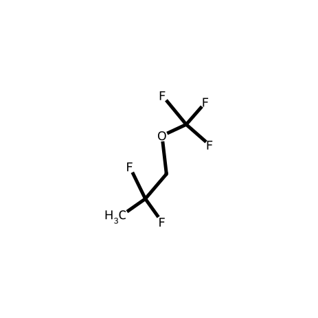 CC(F)(F)COC(F)(F)F